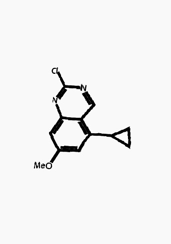 COc1cc(C2CC2)c2cnc(Cl)nc2c1